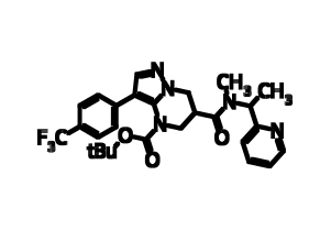 CC(c1ccccn1)N(C)C(=O)C1CN(C(=O)OC(C)(C)C)c2c(-c3ccc(C(F)(F)F)cc3)cnn2C1